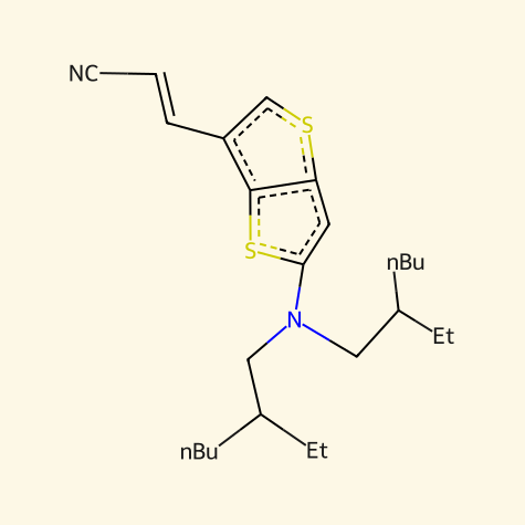 CCCCC(CC)CN(CC(CC)CCCC)c1cc2scc(/C=C/C#N)c2s1